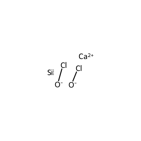 [Ca+2].[O-]Cl.[O-]Cl.[Si]